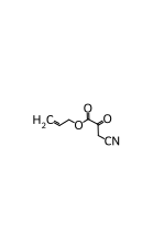 C=CCOC(=O)C(=O)CC#N